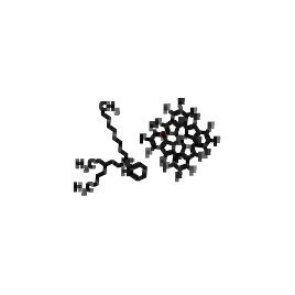 CCCCCCCCC[NH+](CCC(CC)CCCC)c1ccccc1.FC1=C(F)C([B-](C2C(F)=C(F)c3c2cc(F)c(F)c3F)(C2C(F)=C(F)c3c2cc(F)c(F)c3F)C2C(F)=C(F)c3c2cc(F)c(F)c3F)c2cc(F)c(F)c(F)c21